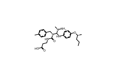 CCC[C@H](C)Oc1ccc(NC(N(C)N)N(Cc2ccc(C)cc2)C(=O)NCCC(=O)O)cc1